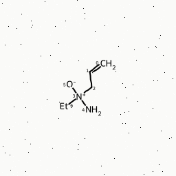 C=CC[N+](N)([O-])CC